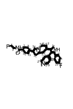 O=C(NCCF)c1ccc(C2CC3C=C(c4c[nH]c(-c5ccc(F)cc5)c4-c4ccncc4)CCN3C2)cc1